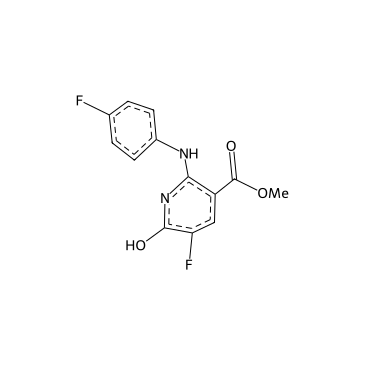 COC(=O)c1cc(F)c(O)nc1Nc1ccc(F)cc1